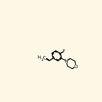 C=Cc1ccc(F)c(N2CCOCC2)c1